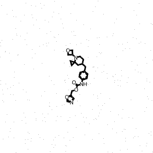 O=C(Nc1ccc(CC2CCN(C3COC3)C3(CC3)C2)cc1)OCc1cnco1